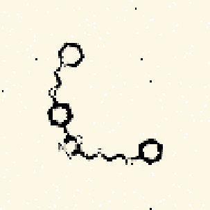 c1ccc(OCCSCc2nnc(-c3ccc(OCCN4CCCCC4)cc3)o2)cc1